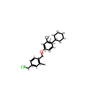 Cc1cc(CCl)ccc1COc1ccc(C2CCCCC2)c(C(F)(F)F)c1